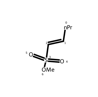 CCC/C=C/S(=O)(=O)OC